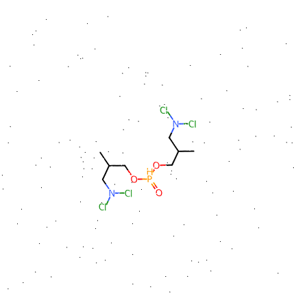 CC(CO[PH](=O)OCC(C)CN(Cl)Cl)CN(Cl)Cl